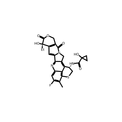 CC[C@@]1(O)C(=O)OCc2c1cc1n(c2=O)Cc2c-1nc1cc(F)c(C)c3c1c2[C@H](NC(=O)C1(O)CC1)CS3